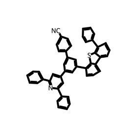 N#Cc1ccc(-c2cc(-c3cc(-c4ccccc4)nc(-c4ccccc4)c3)cc(-c3cccc4c3sc3c(-c5ccccc5)cccc34)c2)cc1